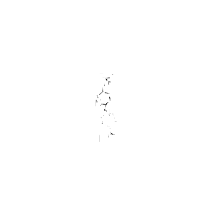 O=C(O)C1CCN(c2ccc(OC(F)(F)F)cn2)CC1